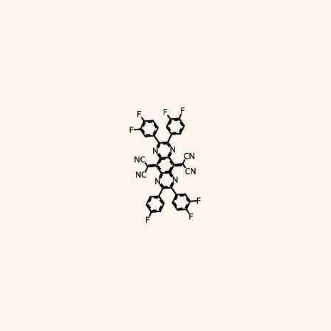 N#CC(C#N)=c1c2nc(-c3ccc(F)cc3)c(-c3ccc(F)c(F)c3)nc2c(=C(C#N)C#N)c2nc(-c3ccc(F)c(F)c3)c(-c3ccc(F)c(F)c3)nc12